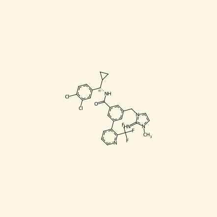 Cn1ccn(Cc2cc(C(=O)N[C@H](c3ccc(Cl)c(Cl)c3)C3CC3)cc(-c3cccnc3C(F)(F)F)c2)c1=N